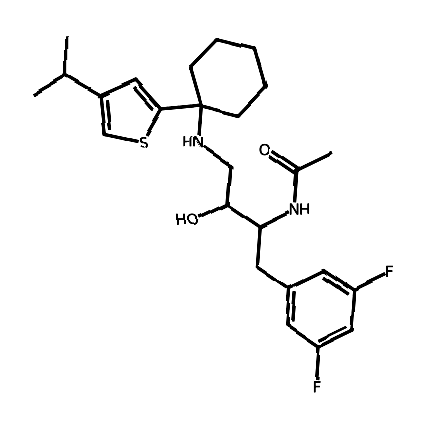 CC(=O)NC(Cc1cc(F)cc(F)c1)C(O)CNC1(c2cc(C(C)C)cs2)CCCCC1